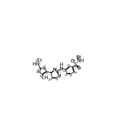 CCNc1nc(C)c(-c2ccnc(Nc3cccc(S(=O)(=O)NCC)c3)n2)s1